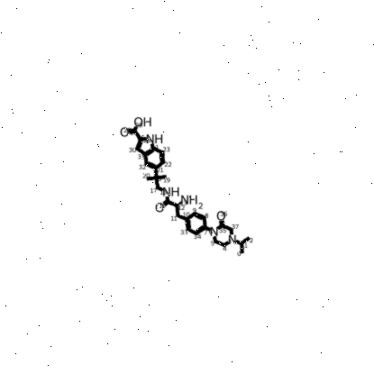 CC(C)N1CCN(c2ccc(C[C@H](N)C(=O)NCC(C)(C)c3ccc4[nH]c(C(=O)O)cc4c3)cc2)C(=O)C1